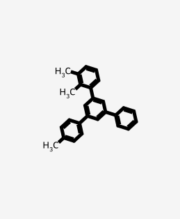 Cc1ccc(-c2cc(-c3ccccc3)cc(-c3cccc(C)c3C)c2)cc1